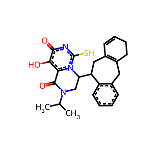 CC(C)N1CC(C2CC3=C(CCC=C3)Cc3ccccc32)n2c(S)nc(=O)c(O)c2C1=O